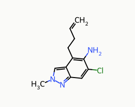 C=CCCc1c(N)c(Cl)cc2nn(C)cc12